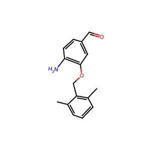 Cc1cccc(C)c1COc1cc(C=O)ccc1N